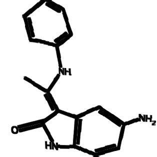 CC(Nc1ccccc1)=C1C(=O)Nc2ccc(N)cc21